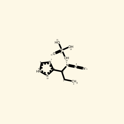 CCC(N=[N+]=[N-])c1nc[nH]n1.O=P(O)(O)O